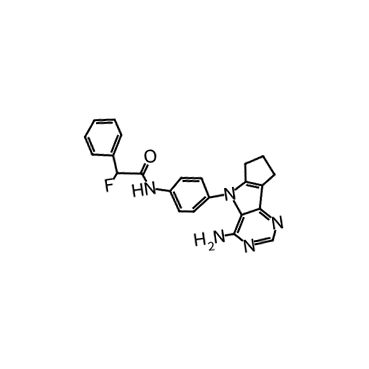 Nc1ncnc2c3c(n(-c4ccc(NC(=O)C(F)c5ccccc5)cc4)c12)CCC3